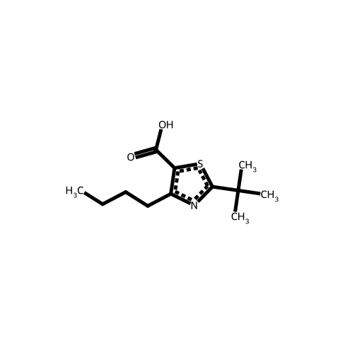 CCCCc1nc(C(C)(C)C)sc1C(=O)O